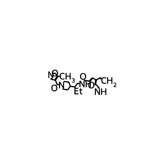 C=Cc1cc(C(=O)NCC(CC)C2CCN(C(=O)c3cnoc3C)CC2)oc1C=N